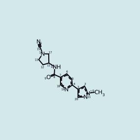 Cn1cc(-c2ccc(C(=O)NC3CCN(C#N)C3)cn2)cn1